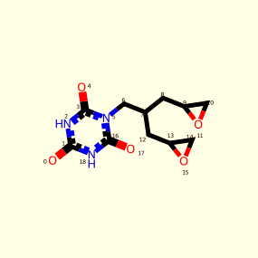 O=c1[nH]c(=O)n(CC(CC2CO2)CC2CO2)c(=O)[nH]1